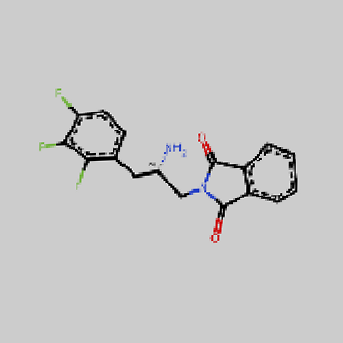 N[C@@H](Cc1ccc(F)c(F)c1F)CN1C(=O)c2ccccc2C1=O